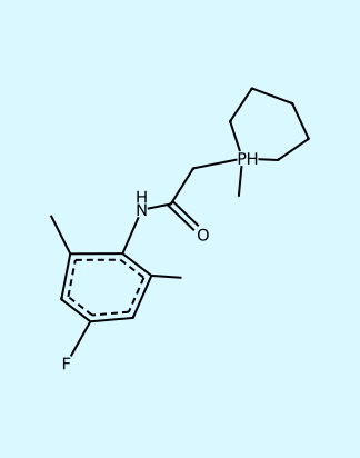 Cc1cc(F)cc(C)c1NC(=O)C[PH]1(C)CCCCC1